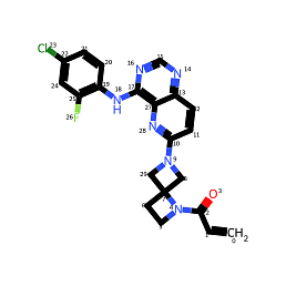 C=CC(=O)N1CCC12CN(c1ccc3ncnc(Nc4ccc(Cl)cc4F)c3n1)C2